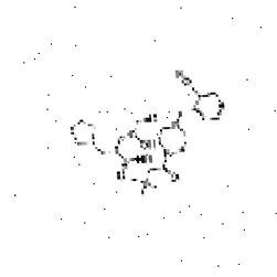 CC(C)(C)[C@H](NC(=O)[C@H](CC1CCCC1)CN(O)C=O)C(=O)N1CCN(Cc2ccccc2C#N)CC1